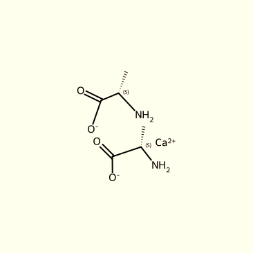 C[C@H](N)C(=O)[O-].C[C@H](N)C(=O)[O-].[Ca+2]